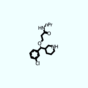 CCCNC(=O)CCO[C@@H](c1cccc(Cl)c1)C1CCCNC1